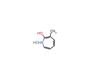 CC1=C(O)NC=CC=C1.Cl